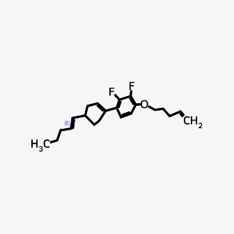 C=CCCCOc1ccc(C2=CCC(/C=C/CCC)CC2)c(F)c1F